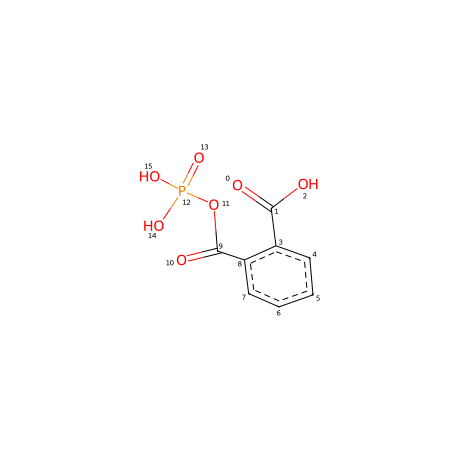 O=C(O)c1ccccc1C(=O)OP(=O)(O)O